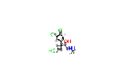 CC(C)NCC(O)C1(c2ccc(Cl)c(Cl)c2)CCC1.Cl